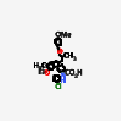 CCOc1cc2c(cc1C)C=C(C[C@@H](C)COCc1ccc(OC)cc1)C21CCC(Nc2cccc(Cl)c2)(C(=O)O)CC1